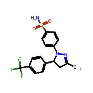 CC1=NN(c2ccc(S(N)(=O)=O)cc2)C(c2ccc(C(F)(F)F)cc2)C1